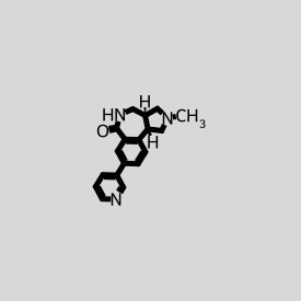 CN1C[C@@H]2CNC(=O)c3cc(-c4cccnc4)ccc3[C@H]2C1